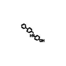 Oc1ccc(NCc2ccc(-c3ccccc3)cc2)cc1